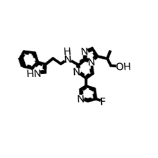 CC(CO)c1cnc2c(NCCc3c[nH]c4c#cccc34)nc(-c3cncc(F)c3)cn12